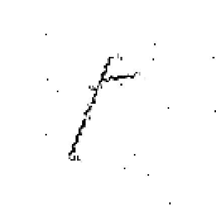 CCCCCCCCCCOCCOCCCC(=O)OCC(CCCCCC)CCCCCCCC